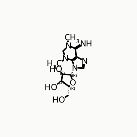 CN1CN(C)c2c(ncn2[C@@H]2O[C@H](CO)[C@@H](O)[C@H]2O)C1=N